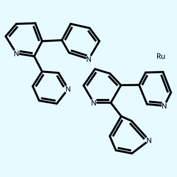 [Ru].c1cncc(-c2cccnc2-c2cccnc2)c1.c1cncc(-c2cccnc2-c2cccnc2)c1